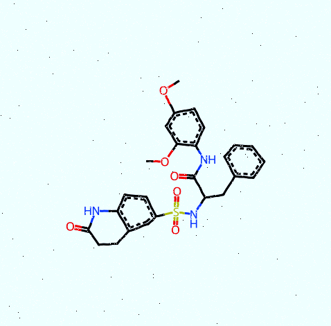 COc1ccc(NC(=O)C(Cc2ccccc2)NS(=O)(=O)c2ccc3c(c2)CCC(=O)N3)c(OC)c1